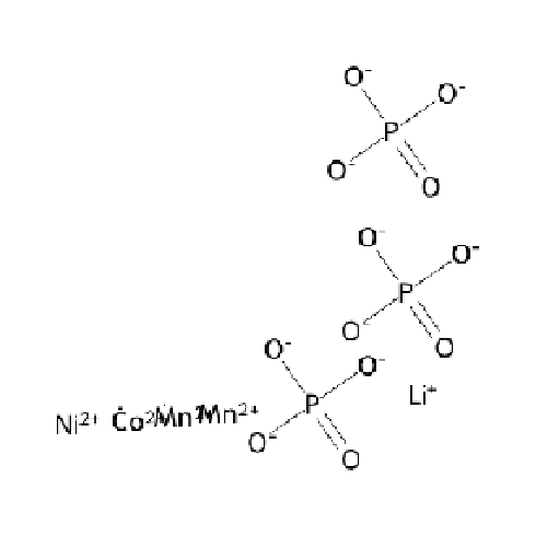 O=P([O-])([O-])[O-].O=P([O-])([O-])[O-].O=P([O-])([O-])[O-].[Co+2].[Li+].[Mn+2].[Mn+2].[Ni+2]